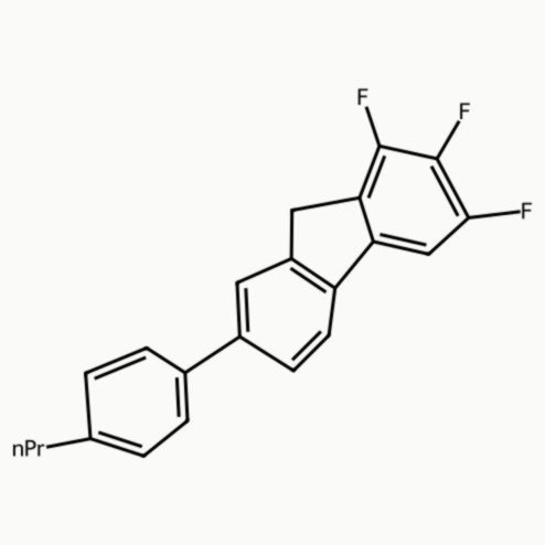 CCCc1ccc(-c2ccc3c(c2)Cc2c-3cc(F)c(F)c2F)cc1